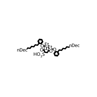 CCCCCCCCCCCCCCCCc1ccccc1OC(CC)OC(=O)CC(C(=O)OC(CC)Oc1ccccc1CCCCCCCCCCCCCCCC)S(=O)(=O)O